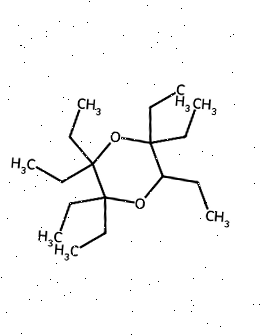 CCC1OC(CC)(CC)C(CC)(CC)OC1(CC)CC